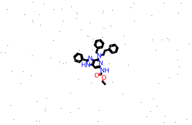 CCOC(=O)Nc1cc2[nH]c(-c3ccccc3)nc2c(N(CCc2ccccc2)Cc2ccccc2)n1